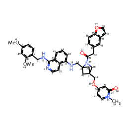 COc1ccc(CNc2nccc3c(NCC45CC(COc6ccn(C)c(=O)c6)(CN4C(=O)Cc4ccc6occc6c4)C5)cccc23)c(OC)c1